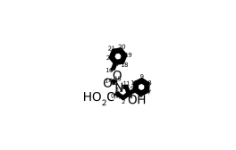 O=C(O)[C@@H]1C[C@](O)(c2ccccc2)CN1C(=O)OCc1ccccc1